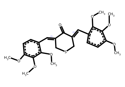 COc1ccc(/C=C2\CSC/C(=C\c3ccc(OC)c(OC)c3OC)C2=O)c(OC)c1OC